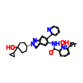 CC(C)c1cccc(C(=O)Nc2cc3cn([C@H]4CC[C@@](O)(C5CC5)CC4)nc3cc2-c2ccccn2)[n+]1O